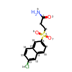 NC(=O)CCS(=O)(=O)c1ccc2cc(Cl)ccc2c1